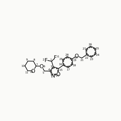 FC(F)c1c(COC2CCCCO2)noc1-c1ccc(OCc2ccccc2)cc1